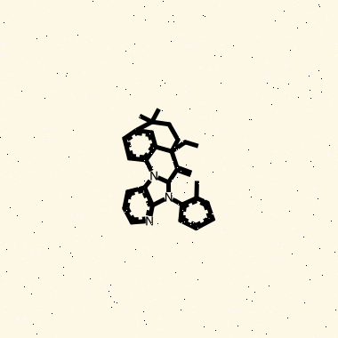 C=C1C2N(c3ccc4cc3C1(CC)CCC4(C)C)c1cccnc1N2c1ccccc1C